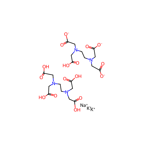 O=C(O)CN(CCN(CC(=O)O)CC(=O)O)CC(=O)O.O=C([O-])CN(CCN(CC(=O)[O-])CC(=O)O)CC(=O)[O-].[K+].[K+].[Na+]